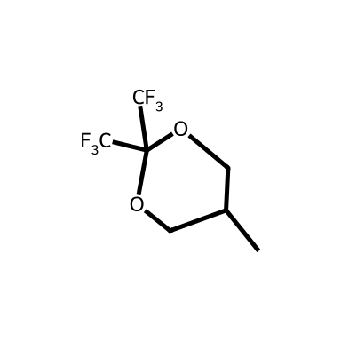 CC1COC(C(F)(F)F)(C(F)(F)F)OC1